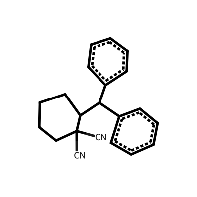 N#CC1(C#N)CCCCC1C(c1ccccc1)c1ccccc1